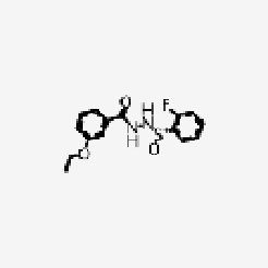 CCOc1cccc(C(=O)NN[S+]([O-])c2ccccc2F)c1